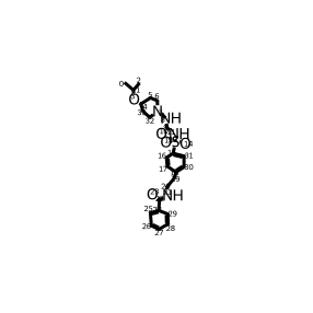 CC(C)OC1CCN(NC(=O)NS(=O)(=O)c2ccc(CCNC(=O)c3ccccc3)cc2)CC1